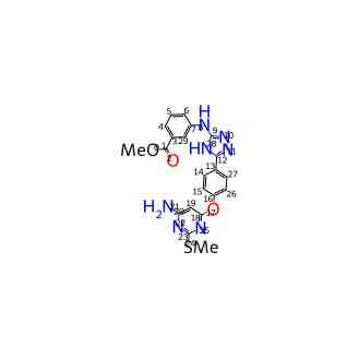 COC(=O)c1cccc(Nc2nnc(-c3ccc(Oc4cc(N)nc(SC)n4)cc3)[nH]2)c1